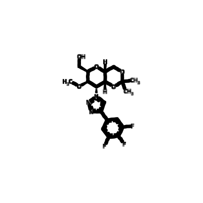 CO[C@@H]1[C@@H](n2cc(-c3cc(F)c(F)c(F)c3)nn2)[C@H]2OC(C)(C)OC[C@H]2O[C@@H]1CO